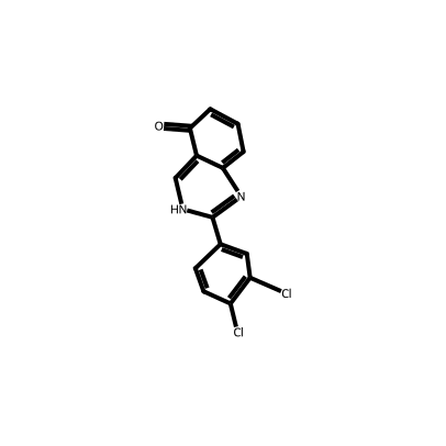 O=c1cccc2nc(-c3ccc(Cl)c(Cl)c3)[nH]cc1-2